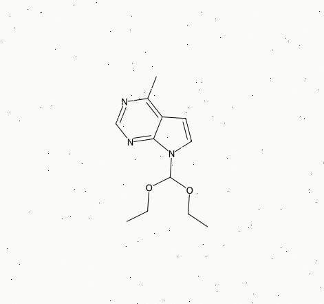 CCOC(OCC)n1ccc2c(C)ncnc21